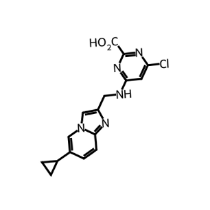 O=C(O)c1nc(Cl)cc(NCc2cn3cc(C4CC4)ccc3n2)n1